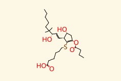 CCCCCC(C)(C)[C@@H](O)C=C[C@@H]1C(SCCCCCC(=O)O)=C(OC(=O)CCC)C[C@H]1O